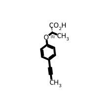 CC#Cc1ccc(O[C@@H](C)C(=O)O)cc1